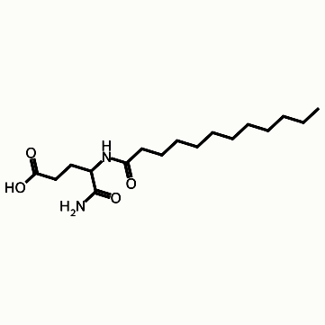 CCCCCCCCCCCC(=O)NC(CCC(=O)O)C(N)=O